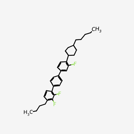 CCCCCC1CCC(c2ccc(-c3ccc(-c4ccc(CCCC)c(F)c4F)cc3)cc2F)CC1